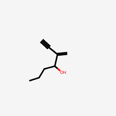 C#CC(=C)C(O)CCC